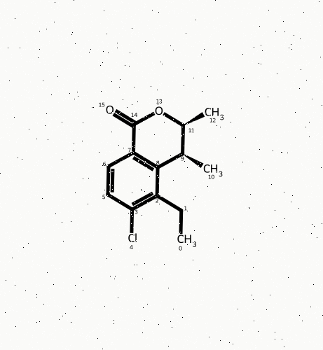 CCc1c(Cl)ccc2c1[C@H](C)[C@H](C)OC2=O